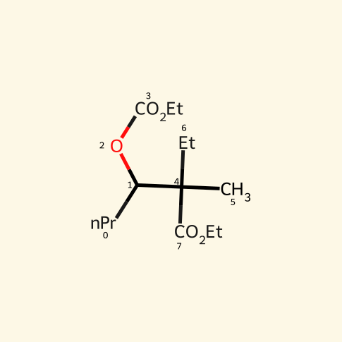 CCCC(OC(=O)OCC)C(C)(CC)C(=O)OCC